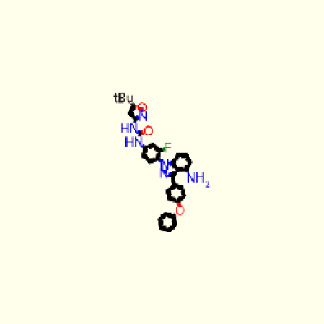 CC(C)(C)c1cc(NC(=O)Nc2ccc(-n3nc(-c4ccc(Oc5ccccc5)cc4)c4c(N)cccc43)c(F)c2)no1